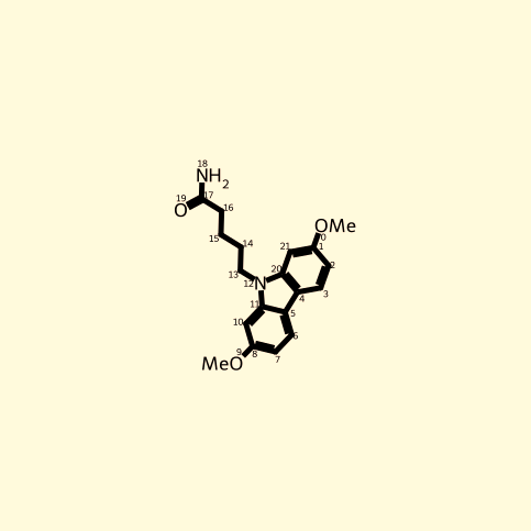 COc1ccc2c3ccc(OC)cc3n(CCCCC(N)=O)c2c1